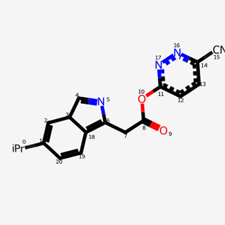 CC(C)C1=CC2C=NC(CC(=O)Oc3ccc(C#N)nn3)=C2C=C1